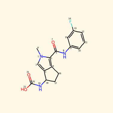 Cn1cc2c(c1C(=O)Nc1cccc(F)c1)CCC2NC(=O)O